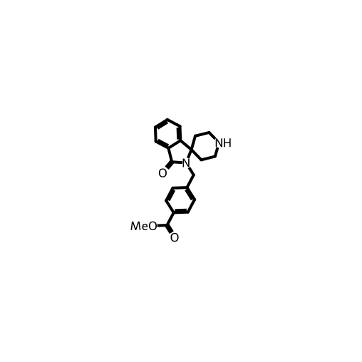 COC(=O)c1ccc(CN2C(=O)c3ccccc3C23CCNCC3)cc1